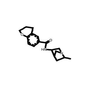 CC1CC2CN1CC2NC(=O)c1ccc2c(c1)CCCO2